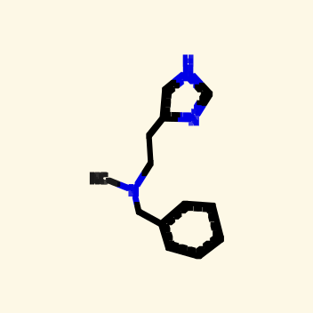 N#CN(CCc1c[nH]cn1)Cc1ccccc1